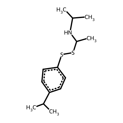 CC(C)NC(C)SSc1ccc(C(C)C)cc1